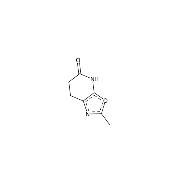 Cc1nc2c(o1)NC(=O)CC2